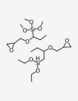 CCC(OCC1CO1)[Si](OC)(OC)OC.CCO[SiH](CC(CC)OCC1CO1)OCC